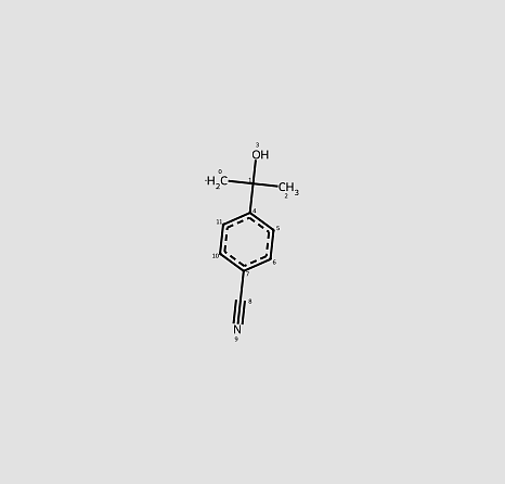 [CH2]C(C)(O)c1ccc(C#N)cc1